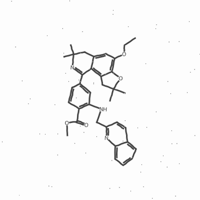 CCOc1cc2c(c3c1OC(C)(C)C3)C(c1ccc(C(=O)OC)c(NCc3ccc4ccccc4n3)c1)=NC(C)(C)C2